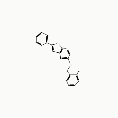 Cc1ccccc1CNc1cnc2[nH]c(-c3ccccc3)cc2c1